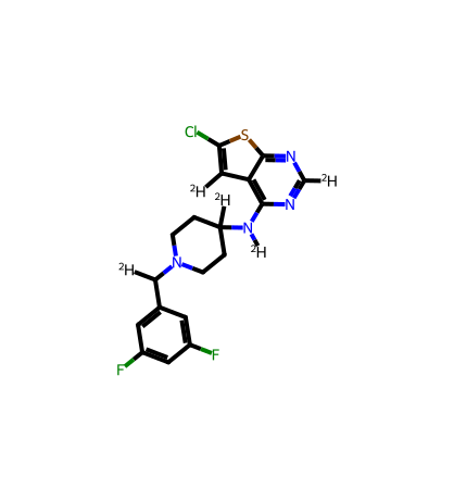 [2H]c1nc(N([2H])C2([2H])CCN(C([2H])c3cc(F)cc(F)c3)CC2)c2c([2H])c(Cl)sc2n1